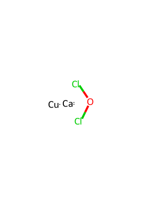 ClOCl.[Ca].[Cu]